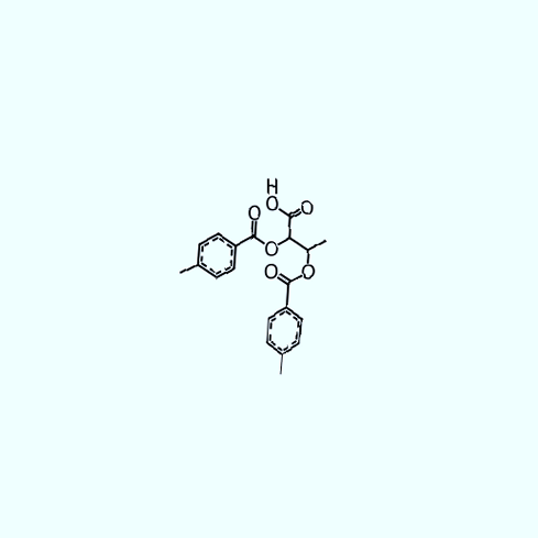 Cc1ccc(C(=O)OC(C)C(OC(=O)c2ccc(C)cc2)C(=O)O)cc1